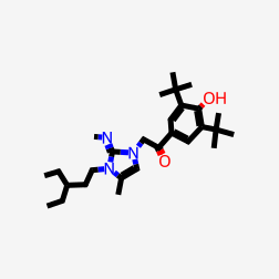 CCC(CC)CCn1c(C)cn(CC(=O)c2cc(C(C)(C)C)c(O)c(C(C)(C)C)c2)/c1=N/C